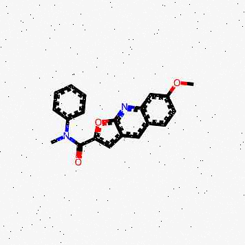 COc1ccc2cc3cc(C(=O)N(C)c4ccccc4)oc3nc2c1